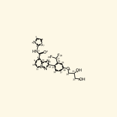 O=C(Nc1nccs1)c1cccn2nc(-c3ccc(OC[C@@H](O)CO)cc3C(F)F)nc12